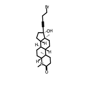 CN1C(=O)CC[C@]2(C)[C@H]3CC[C@@]4(C)[C@@H](CC[C@@]4(O)C#CCCBr)[C@@H]3CC[C@@H]12